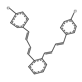 Clc1ccc(/C=C/C=C/c2ccccc2/C=C/C=C/c2ccc(Cl)cc2)cc1